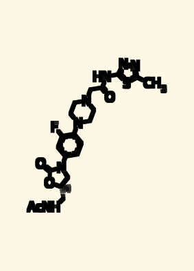 CC(=O)NC[C@H]1CN(c2ccc(N3CCN(CC(=O)Nc4nnc(C)s4)CC3)c(F)c2)C(=O)O1